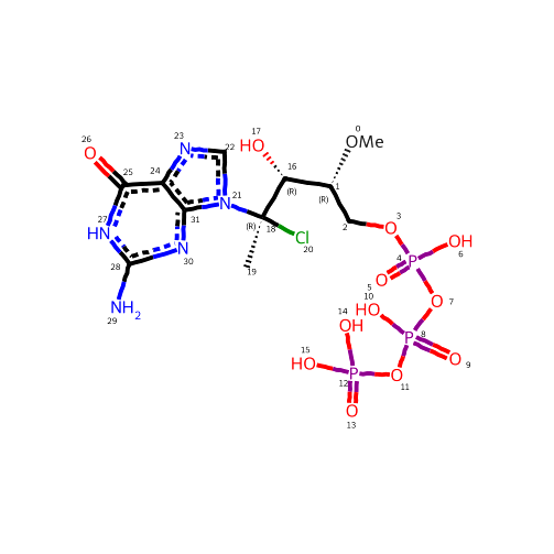 CO[C@H](COP(=O)(O)OP(=O)(O)OP(=O)(O)O)[C@@H](O)[C@@](C)(Cl)n1cnc2c(=O)[nH]c(N)nc21